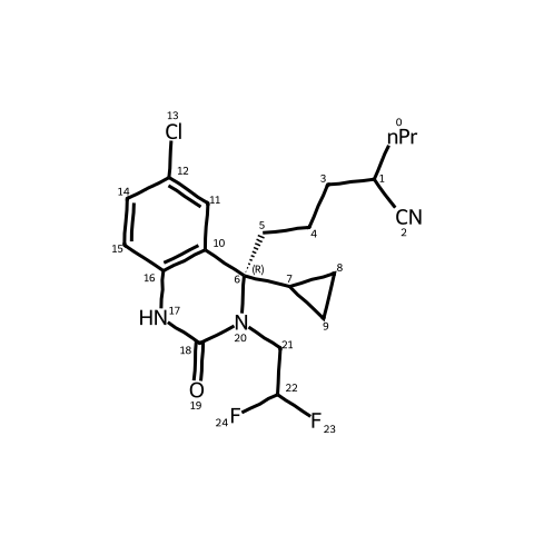 CCCC(C#N)CCC[C@@]1(C2CC2)c2cc(Cl)ccc2NC(=O)N1CC(F)F